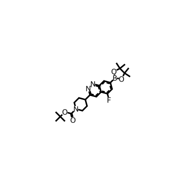 CC(C)(C)OC(=O)N1CCC(c2cc3c(F)cc(B4OC(C)(C)C(C)(C)O4)cc3nn2)CC1